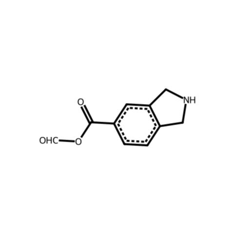 O=COC(=O)c1ccc2c(c1)CNC2